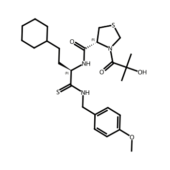 COc1ccc(CNC(=S)[C@@H](CCC2CCCCC2)NC(=O)[C@@H]2CSCN2C(=O)C(C)(C)O)cc1